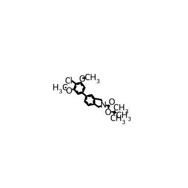 COc1cc(-c2ccc3c(c2)CN(C(=O)OC(C)(C)C)C3)cc(OC)c1Cl